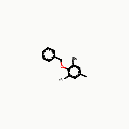 Cc1cc(C(C)(C)C)c(OCc2ccccc2)c(C(C)(C)C)c1